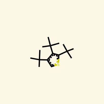 CC(C)(C)c1csc(C(C)(C)C)c1C(C)(C)C